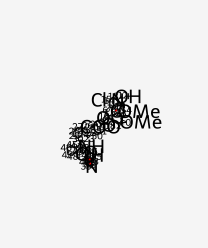 COc1ccc([C@H](Cc2c(Cl)c[n+](O)cc2Cl)OC(=O)c2ccc(Cc3c(C(=O)[O-])cccc3[C@@H](NC(=O)O[C@H]3CN4CCC3CC4)c3ccccc3)cc2)cc1OC